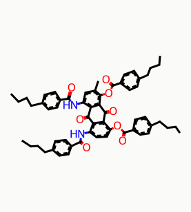 CCCCc1ccc(C(=O)Nc2ccc(OC(=O)c3ccc(CCCC)cc3)c3c2C(=O)c2c(NC(=O)c4ccc(CCCC)cc4)cc(C)c(OC(=O)c4ccc(CCCC)cc4)c2C3=O)cc1